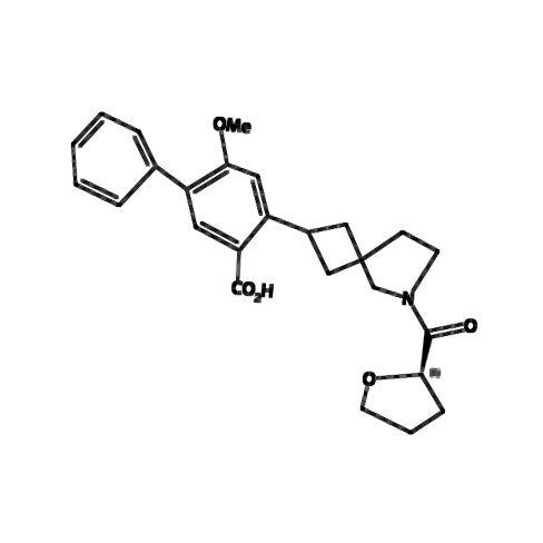 COc1cc(C2CC3(CCN(C(=O)[C@H]4CCCO4)C3)C2)c(C(=O)O)cc1-c1ccccc1